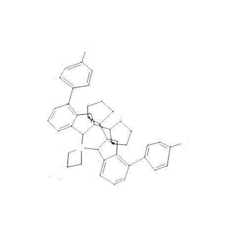 FC(F)(F)c1ccc(-c2cccc3c2C=C(C2CCCC2)[CH]3[Ti+2]2([CH]3C(C4CCCC4)=Cc4c(-c5ccc(C(F)(F)F)cc5)cccc43)[CH2]C[CH2]2)cc1.[Cl-].[Cl-]